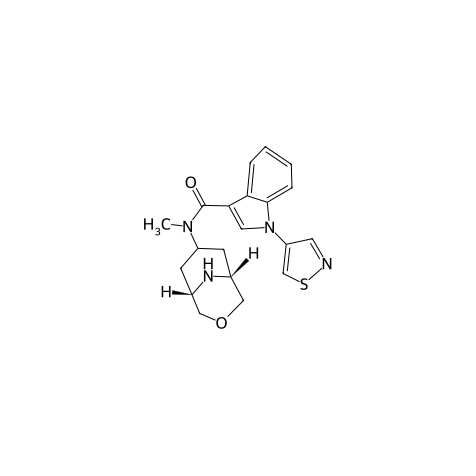 CN(C(=O)c1cn(-c2cnsc2)c2ccccc12)C1C[C@H]2COC[C@@H](C1)N2